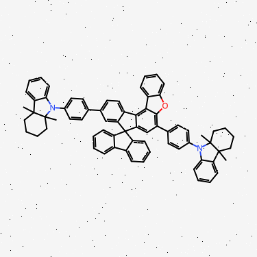 CC12CCCCC1(C)N(c1ccc(-c3ccc4c(c3)C3(c5ccccc5-c5ccccc53)c3cc(-c5ccc(N6c7ccccc7C7(C)CCCCC67C)cc5)c5oc6ccccc6c5c3-4)cc1)c1ccccc12